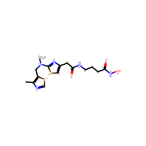 Cc1ncsc1CN(C(=O)O)c1nc(CC(=O)NCCCC(=O)NO)cs1